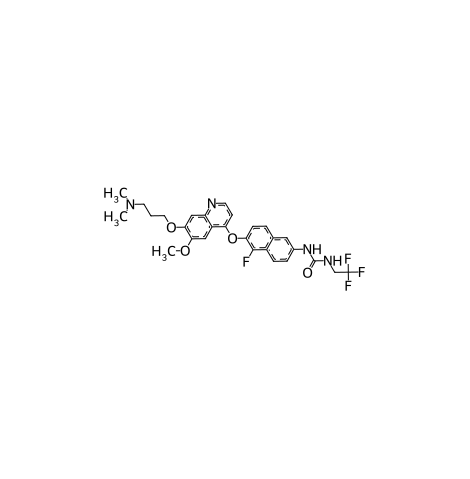 COc1cc2c(Oc3ccc4cc(NC(=O)NCC(F)(F)F)ccc4c3F)ccnc2cc1OCCCN(C)C